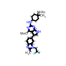 COc1nc(NC2CCC(C)(NC(C)=O)CC2)nc2[nH]cc(-c3ccc4nc(C)n(CC(F)F)c4c3)c12